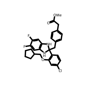 COC(=O)Cc1ccc(CC2(c3ccc(Cl)cc3OCC3CCCC3)Nc3cc(F)c(F)cc3N2)cc1